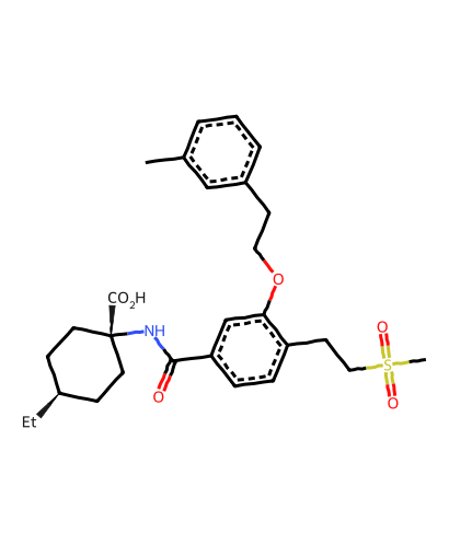 CC[C@H]1CC[C@@](NC(=O)c2ccc(CCS(C)(=O)=O)c(OCCc3cccc(C)c3)c2)(C(=O)O)CC1